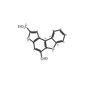 CCOC(=O)c1cc2c(cc(C=O)c3oc4ccccc4c32)o1